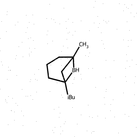 CCC(C)C12BC(C)(CCC1)C2